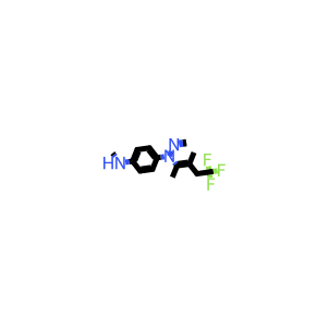 C=NN(/C(C)=C(\C)CC(F)(F)F)c1ccc(NC)cc1